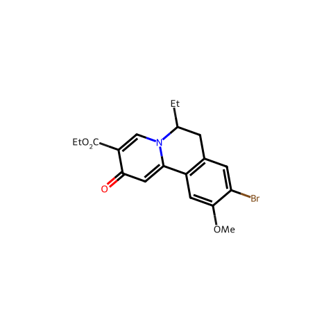 CCOC(=O)c1cn2c(cc1=O)-c1cc(OC)c(Br)cc1CC2CC